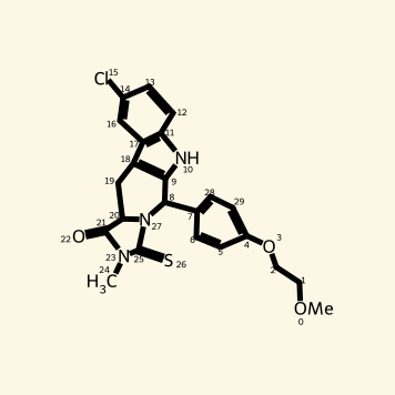 COCCOc1ccc(C2c3[nH]c4ccc(Cl)cc4c3CC3C(=O)N(C)C(=S)N32)cc1